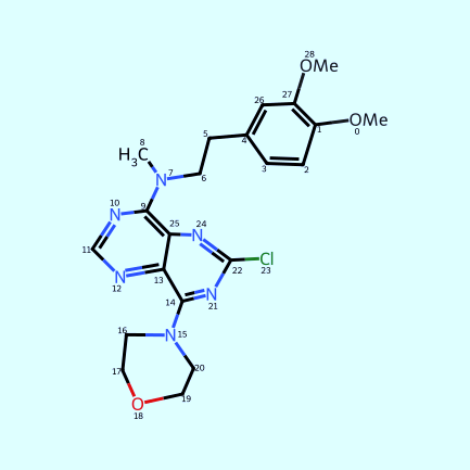 COc1ccc(CCN(C)c2ncnc3c(N4CCOCC4)nc(Cl)nc23)cc1OC